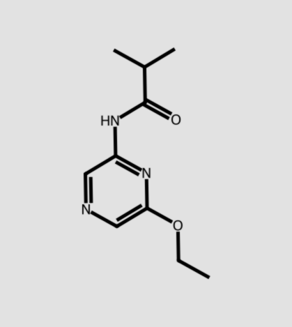 CCOc1cncc(NC(=O)C(C)C)n1